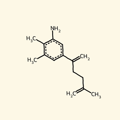 C=C(C)CCC(=C)c1cc(C)c(C)c(N)c1